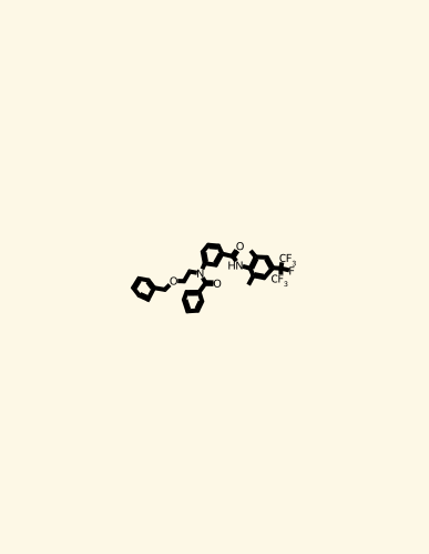 Cc1cc(C(F)(C(F)(F)F)C(F)(F)F)cc(C)c1NC(=O)c1cccc(N(CCOCc2ccccc2)C(=O)c2ccccc2)c1